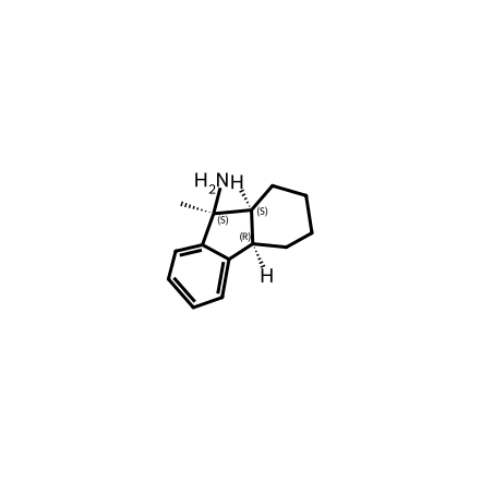 C[C@@]1(N)c2ccccc2[C@@H]2CCCC[C@@H]21